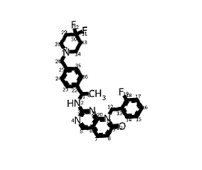 CC(Nc1ncc2ccc(=O)n(Cc3ccccc3F)c2n1)c1ccc(CN2CCC(F)(F)CC2)cc1